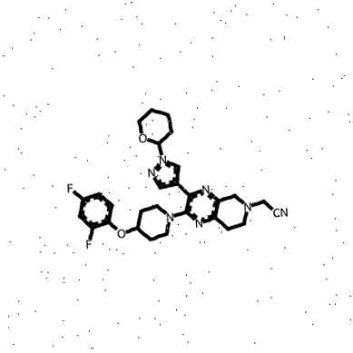 N#CCN1CCc2nc(N3CCC(Oc4ccc(F)cc4F)CC3)c(-c3cnn(C4CCCCO4)c3)nc2C1